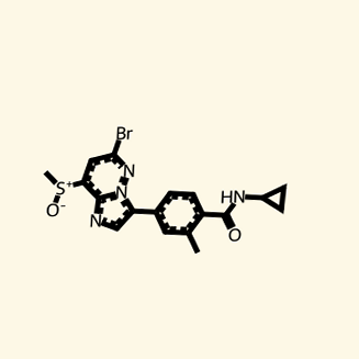 Cc1cc(-c2cnc3c([S+](C)[O-])cc(Br)nn23)ccc1C(=O)NC1CC1